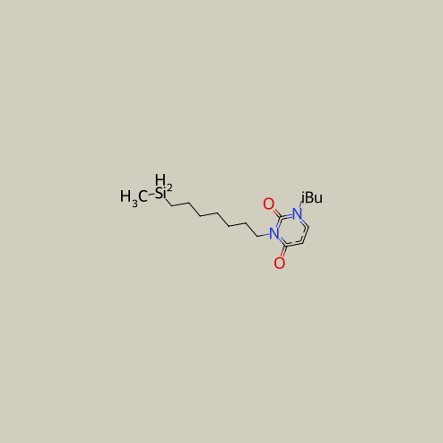 CCC(C)n1ccc(=O)n(CCCCCCC[SiH2]C)c1=O